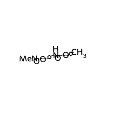 CNC(=O)CCCOCCc1ccc(CCNC(=O)CCCCOCc2ccc(C)cc2)cc1